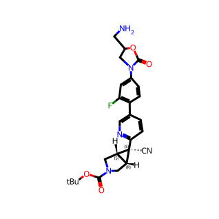 CC(C)(C)OC(=O)N1C[C@@H]2[C@H](C1)[C@@]2(C#N)c1ccc(-c2ccc(N3CC(CN)OC3=O)cc2F)cn1